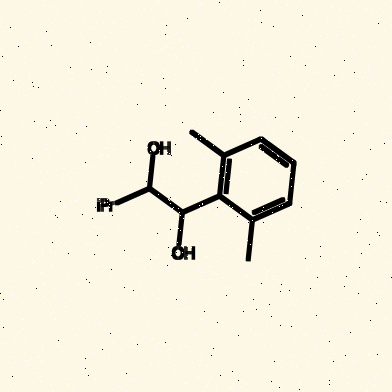 Cc1cccc(C)c1C(O)C(O)C(C)C